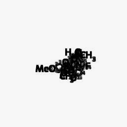 COc1ccc(S(=O)(=O)N2C(=O)C(c3cccc4c3OCO4)(N3C[C@H](F)C[C@H]3C(=O)N(C)C)c3cc(Cl)ccc32)c(OC(F)(F)F)c1